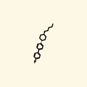 CCCCC[C@H]1CC[C@H](c2ccc(-c3ccc(F)cc3)cc2)CC1